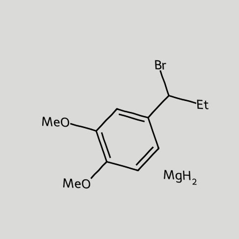 CCC(Br)c1ccc(OC)c(OC)c1.[MgH2]